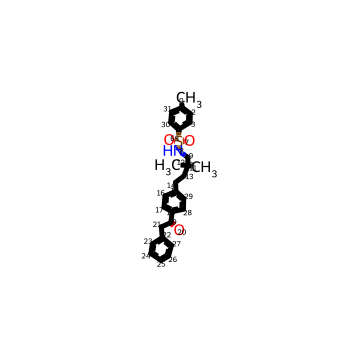 Cc1ccc(S(=O)(=O)NCC(C)(C)CCc2ccc(C(=O)Cc3ccccc3)cc2)cc1